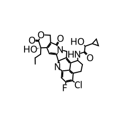 CCC[C@@]1(O)C(=O)OCc2c1cc1n(c2=O)Cc2c-1nc1cc(F)c(Cl)c3c1c2C(NC(=O)C(O)C1CC1)CC3